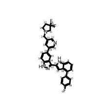 Fc1ccc(-c2cccc3[nH]c(-c4n[nH]c5ccc(-c6cncc(CN7CCC(F)(F)C7)c6)cc45)cc23)cc1